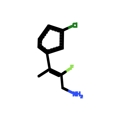 CC(=C(F)CN)c1cccc(Cl)c1